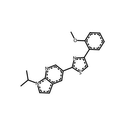 COc1ccccc1-c1csc(-c2cnc3c(ccn3C(C)C)c2)n1